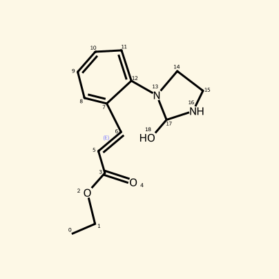 CCOC(=O)/C=C/c1ccccc1N1CCNC1O